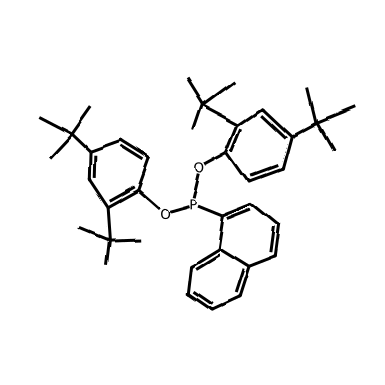 CC(C)(C)c1ccc(OP(Oc2ccc(C(C)(C)C)cc2C(C)(C)C)c2cccc3ccccc23)c(C(C)(C)C)c1